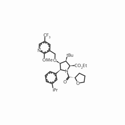 CCOC(=O)[C@@H]1[C@H](C(C)(C)C)[C@H](OCc2cc(C(F)(F)F)cnc2OC)[C@H](c2cccc(C(C)C)c2)N1C(=O)[C@@H]1CCCO1